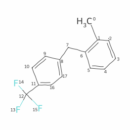 Cc1[c]cccc1Cc1ccc(C(F)(F)F)cc1